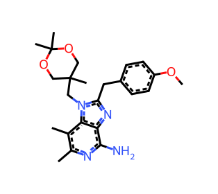 COc1ccc(Cc2nc3c(N)nc(C)c(C)c3n2CC2(C)COC(C)(C)OC2)cc1